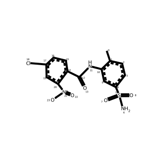 Cc1ccc(S(N)(=O)=O)cc1NC(=O)c1ccc(Cl)cc1[N+](=O)[O-]